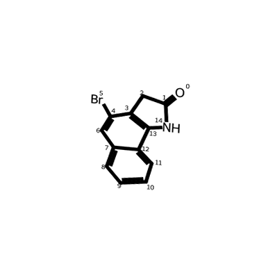 O=C1Cc2c(Br)cc3ccccc3c2N1